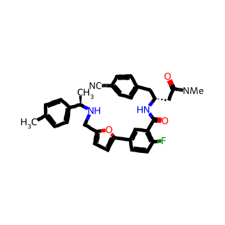 CNC(=O)C[C@@H](Cc1ccc(C#N)cc1)NC(=O)c1cc(-c2ccc(CN[C@H](C)c3ccc(C)cc3)o2)ccc1F